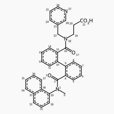 CN(C(=O)c1ccccc1-c1ccccc1C(=O)N(CCC(=O)O)Cc1cccnc1)c1cccc2ccccc12